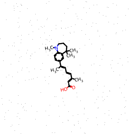 CC(C=CC=C(C)c1ccc2c(c1)C(C)(C)CCCN2C)=CC(=O)O